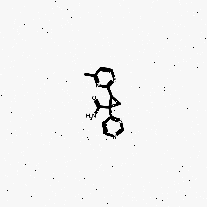 Cc1ccnc(C2CC2(C(N)=O)c2ccncn2)n1